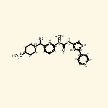 CCC(c1cccc(NC(=O)Nc2csc(-c3ccncc3)n2)n1)N1CCC(C(=O)O)CC1.Cl